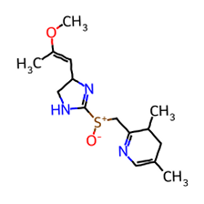 CO/C(C)=C/C1CNC([S+]([O-])CC2=NC=C(C)CC2C)=N1